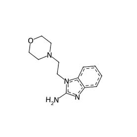 Nc1nc2ccccc2n1CCN1CCOCC1